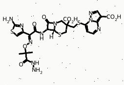 CC(C)(ON=C(C(=O)NC1C(=O)N2CC(CSc3ccnc4c(C(=O)O)cnn34)(C(=O)O)CS[C@H]12)c1csc(N)n1)C(=O)NN